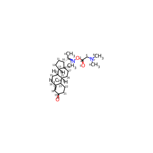 CC(=NOC(=O)CN(C)C)[C@H]1CC[C@H]2[C@@H]3CCC4=CC(=O)CC[C@]4(C)[C@H]3CC[C@]12C